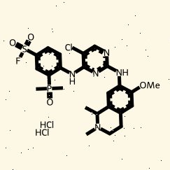 COc1cc2c(cc1Nc1ncc(Cl)c(Nc3ccc(S(=O)(=O)F)cc3P(C)(C)=O)n1)C(C)N(C)CC2.Cl.Cl